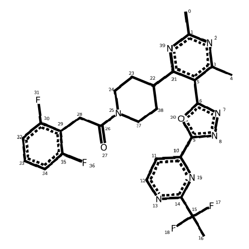 Cc1nc(C)c(-c2nnc(-c3ccnc(C(C)(F)F)n3)o2)c(C2CCN(C(=O)Cc3c(F)cccc3F)CC2)n1